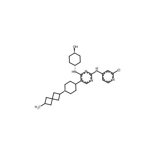 CC1CC2(C1)CC(N1CCC(c3cnc(Nc4ccnc(Cl)c4)nc3N[C@H]3CC[C@H](O)CC3)CC1)C2